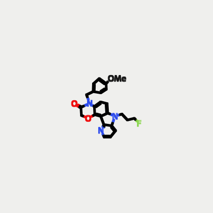 COc1ccc(CN2C(=O)COc3c2ccc2c3c3ncccc3n2CCCF)cc1